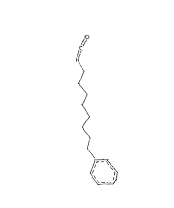 O=C=NCCCCCCCCc1[c]cccc1